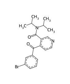 CC(C)N(C(=O)c1cnccc1C(=O)c1cccc(Br)c1)C(C)C